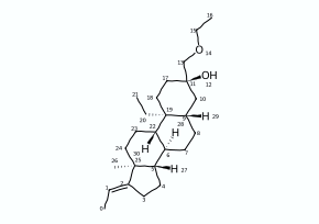 C/C=C1\CC[C@H]2[C@@H]3CC[C@H]4C[C@@](O)(COCC)CC[C@]4(CC)[C@H]3CC[C@]12C